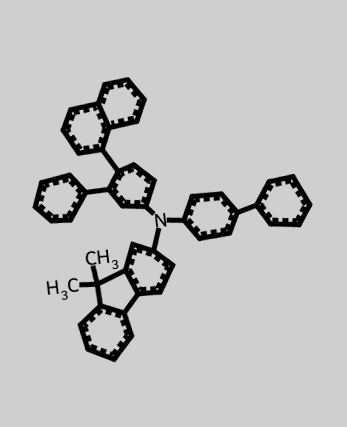 CC1(C)c2ccccc2-c2ccc(N(c3ccc(-c4ccccc4)cc3)c3ccc(-c4cccc5ccccc45)c(-c4ccccc4)c3)cc21